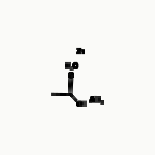 CC(=O)O.O.[AlH3].[Zn]